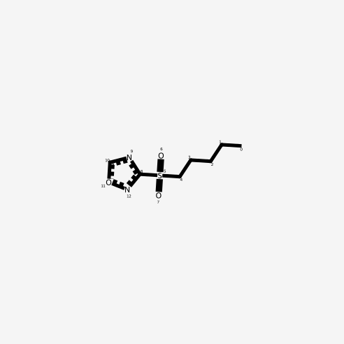 CCCCCS(=O)(=O)c1ncon1